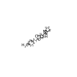 CN1CCCN(CCCOc2ccc(-c3nc4c([nH]3)CCCC4)cc2Cl)CC1